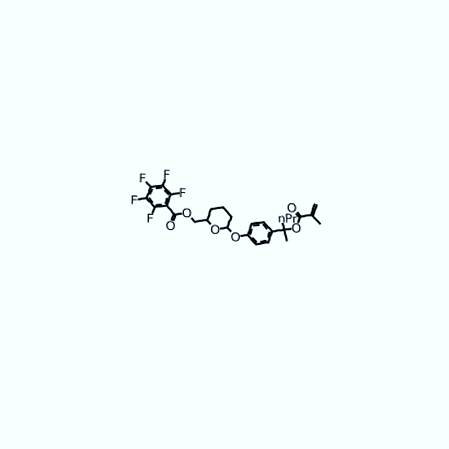 C=C(C)C(=O)OC(C)(CCC)c1ccc(OC2CCCC(COC(=O)c3c(F)c(F)c(F)c(F)c3F)O2)cc1